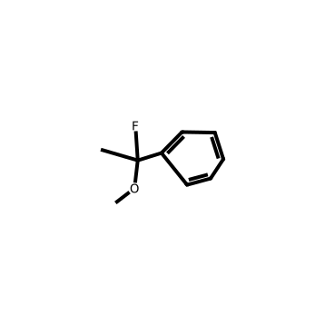 COC(C)(F)c1ccccc1